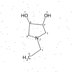 [CH2]CN1CC(O)C(O)C1